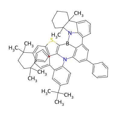 CC(C)(C)c1ccc(N2c3cc(-c4ccccc4)cc4c3B(c3sc5cc6c(cc5c32)C(C)(C)CCC6(C)C)N2c3c-4cccc3C3(C)CCCCC23C)c(-c2ccccc2)c1